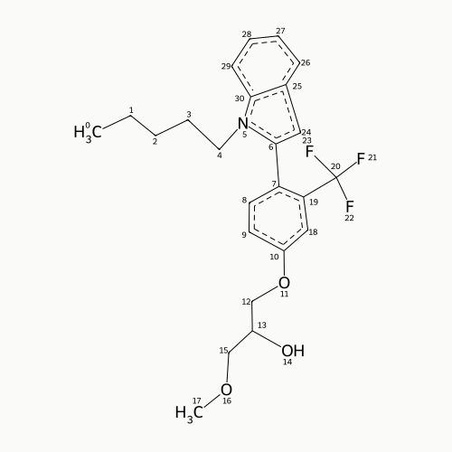 CCCCCn1c(-c2ccc(OCC(O)COC)cc2C(F)(F)F)cc2ccccc21